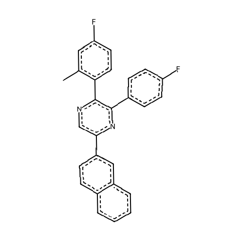 Cc1cc(F)ccc1-c1ncc(-c2ccc3ccccc3c2)nc1-c1ccc(F)cc1